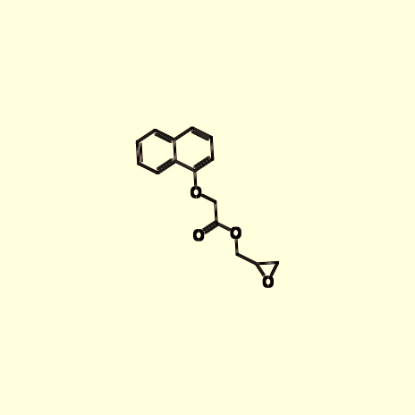 O=C(COc1cccc2ccccc12)OCC1CO1